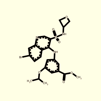 COC(=O)c1cc(Nc2c(S(=O)(=O)NC3COC3)cnc3cc(Br)ccc23)cc(OC(C)C)c1